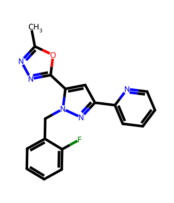 Cc1nnc(-c2cc(-c3ccccn3)nn2Cc2ccccc2F)o1